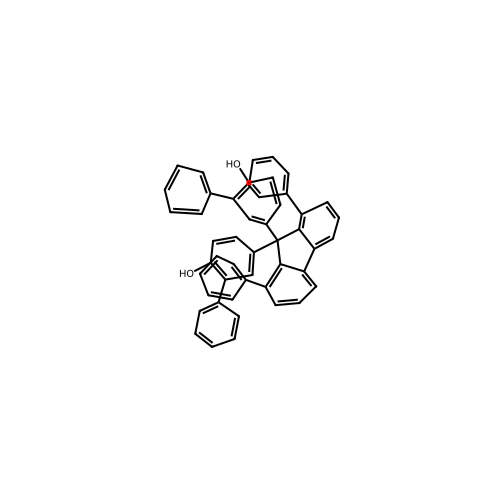 Oc1ccc(C2(c3ccc(O)c(-c4ccccc4)c3)c3c(-c4ccccc4)cccc3-c3cccc(-c4ccccc4)c32)cc1-c1ccccc1